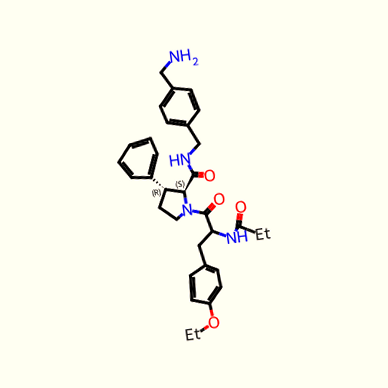 CCOc1ccc(CC(NC(=O)CC)C(=O)N2CC[C@H](c3ccccc3)[C@H]2C(=O)NCc2ccc(CN)cc2)cc1